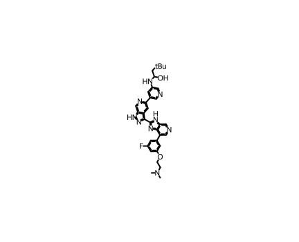 CN(C)CCOc1cc(F)cc(-c2cncc3[nH]c(-c4n[nH]c5cnc(-c6cncc(NC(O)CC(C)(C)C)c6)cc45)nc23)c1